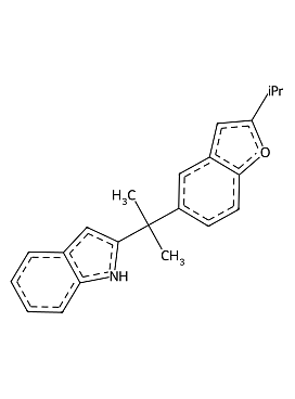 CC(C)c1cc2cc(C(C)(C)c3cc4ccccc4[nH]3)ccc2o1